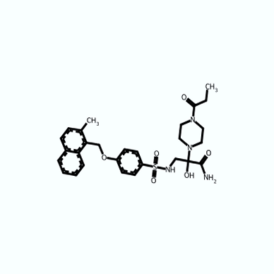 CCC(=O)N1CCN(C(O)(CNS(=O)(=O)c2ccc(OCc3c(C)ccc4ccccc34)cc2)C(N)=O)CC1